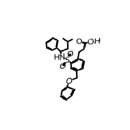 CC(C)CC(NS(=O)(=O)c1cc(COc2ccccc2)ccc1CCC(=O)O)c1ccccc1